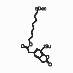 CCCCCCCCCCCCCCCCCCOC(=O)Cc1cc2c(c(C(C)(C)C)c1)OC(=O)C2